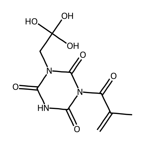 C=C(C)C(=O)n1c(=O)[nH]c(=O)n(CC(O)(O)O)c1=O